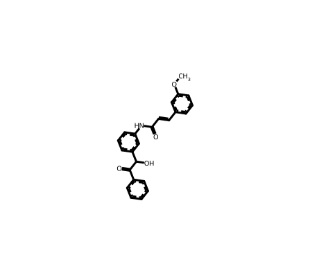 COc1cccc(C=CC(=O)Nc2cccc(C(O)C(=O)c3ccccc3)c2)c1